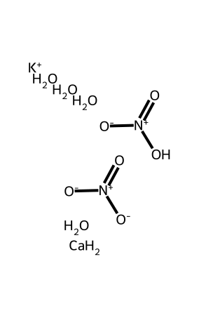 O.O.O.O.O=[N+]([O-])O.O=[N+]([O-])[O-].[CaH2].[K+]